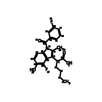 CCCCC(C(=O)O)c1c(C)n(C(=O)c2cccc(F)c2)c2ccc(O)c(F)c12